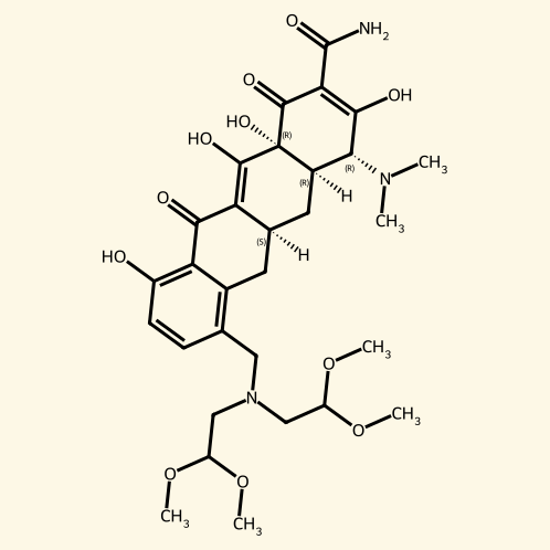 COC(CN(Cc1ccc(O)c2c1C[C@@H]1C[C@@H]3[C@@H](N(C)C)C(O)=C(C(N)=O)C(=O)[C@]3(O)C(O)=C1C2=O)CC(OC)OC)OC